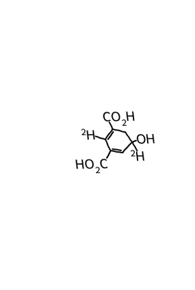 [2H]C1=C(C(=O)O)CC([2H])(O)C=C1C(=O)O